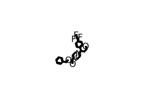 O=C(OCc1ccccc1)N1CCN(C2CCOc3cc(C(F)(F)F)ccc32)CC1